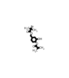 C=C(C)C(=O)OC1CCC(COC(=O)C(C)(C)Br)CC1O